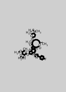 CC[C@H]1CCC[C@H](O[C@H]2CC[C@H](N(C)C)C(C)O2)[C@@H](C)C(=O)C2=C[C@@H]3[C@@H](C=C(n4cc(-c5ccc(F)cc5)nn4)[C@@H]4C[C@@H](O[C@@H]5OC(C)[C@H](OC)C(OC)C5OC)C[C@@H]34)[C@@H]2CC(=O)O1